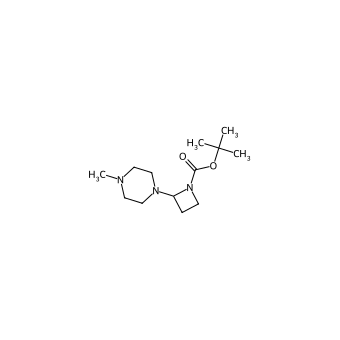 CN1CCN(C2CCN2C(=O)OC(C)(C)C)CC1